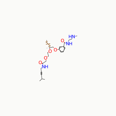 CNCCNC(=O)c1cccc(OC[C@@](C)(OCCOCC(=O)NCC#CC(C)C)SSC)c1